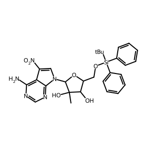 CC1(O)C(O)C(CO[Si](c2ccccc2)(c2ccccc2)C(C)(C)C)OC1n1cc([N+](=O)[O-])c2c(N)ncnc21